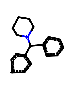 [c]1ccc(C(c2ccccc2)N2CCCCC2)cc1